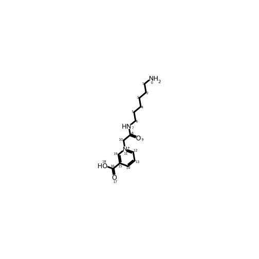 NCCCCCCNC(=O)C[n+]1cccc(C(=O)O)c1